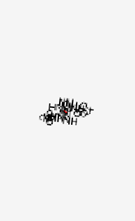 CC1(C)CCOc2c(C(=O)NC3CN4C(=N)N[C@@H](CNS(=O)(=O)N5CCCC5)C5NC(=N)NC54[C@@H]3O)cccc21